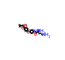 NCCCC(N)C(=O)Nc1ccc(Oc2ccc(S(=O)(=O)CC3CC3)cc2)cc1